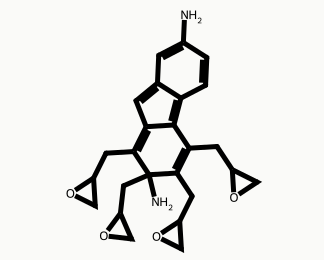 Nc1ccc2c(c1)=CC1=C(CC3CO3)C(N)(CC3CO3)C(CC3CO3)=C(CC3CO3)C=21